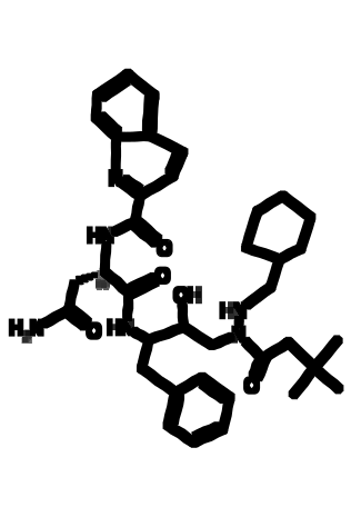 CC(C)(C)CC(=O)N(CC(O)C(Cc1ccccc1)NC(=O)[C@H](CC(N)=O)NC(=O)c1ccc2ccccc2n1)NCC1CCCCC1